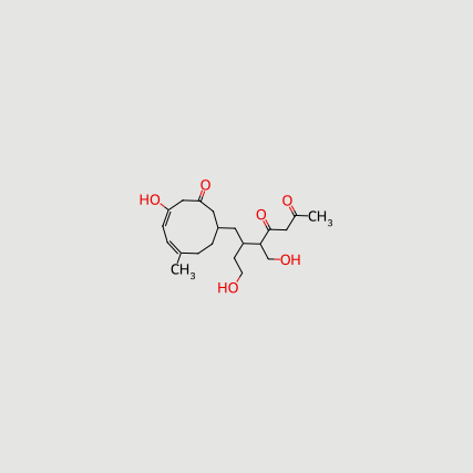 CC(=O)CC(=O)C(CO)C(CCO)CC1CC/C(C)=C\C=C(\O)CC(=O)C1